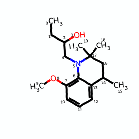 CCC(O)CN1c2c(OC)cccc2C(C)CC1(C)C